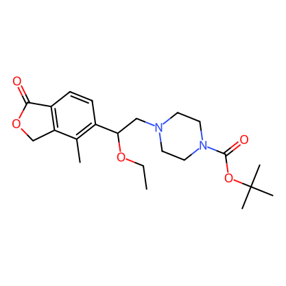 CCOC(CN1CCN(C(=O)OC(C)(C)C)CC1)c1ccc2c(c1C)COC2=O